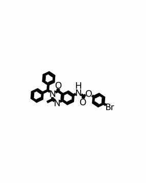 Cc1nc2ccc(NC(=O)Oc3ccc(Br)cc3)cc2c(=O)n1C(c1ccccc1)c1ccccc1